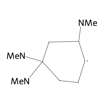 CNC1[CH]CCC(NC)(NC)C1